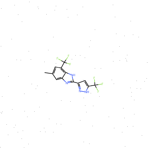 Cc1cc(C(F)(F)F)c2[nH]c(-c3cc(C(F)(F)F)[nH]n3)nc2c1